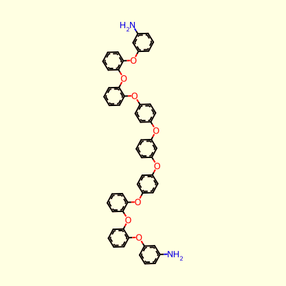 Nc1cccc(Oc2ccccc2Oc2ccccc2Oc2ccc(Oc3cccc(Oc4ccc(Oc5ccccc5Oc5ccccc5Oc5cccc(N)c5)cc4)c3)cc2)c1